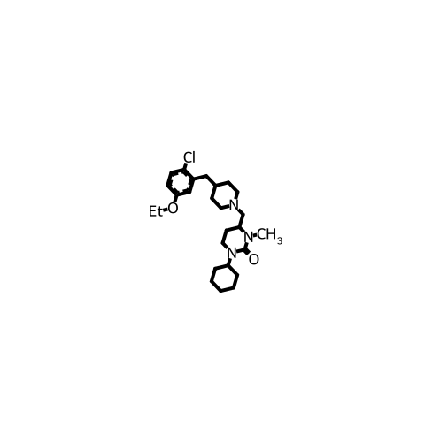 CCOc1ccc(Cl)c(CC2CCN(CC3CCN(C4CCCCC4)C(=O)N3C)CC2)c1